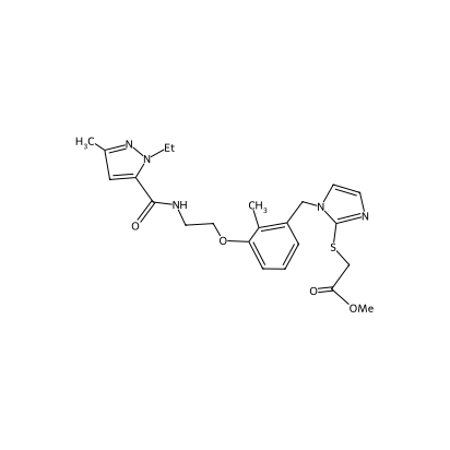 CCn1nc(C)cc1C(=O)NCCOc1cccc(Cn2ccnc2SCC(=O)OC)c1C